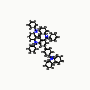 c1ccc(N2c3cccc4c3B3c5c2cccc5N(c2ccccc2)c2cc(-c5ccc(-n6c7ccccc7c7ccccc76)cc5)cc(c23)N4c2ccccc2)cc1